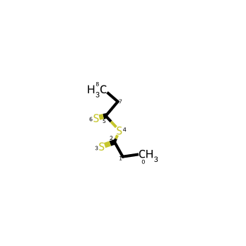 CCC(=S)SC(=S)CC